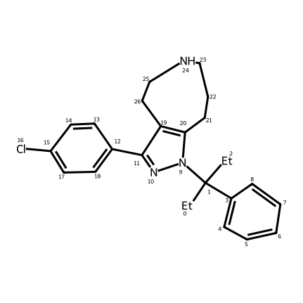 CCC(CC)(c1ccccc1)n1nc(-c2ccc(Cl)cc2)c2c1CCCNCC2